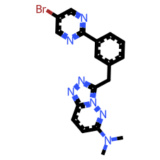 CN(C)c1ccc2nnc(Cc3cccc(-c4ncc(Br)cn4)c3)n2n1